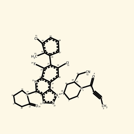 CC#CC(=O)N1CC[C@H](n2nnc3c(N4CCCCC4=O)nc4c(F)c(-c5cccc(Cl)c5C)c(Cl)cc4c32)C[C@H]1CC#N